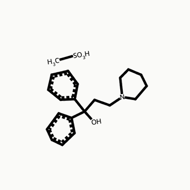 CS(=O)(=O)O.OC(CCN1CCCCC1)(c1ccccc1)c1ccccc1